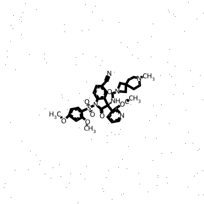 CCOc1ncccc1[C@]1(NC(=O)N2CC3(CCN(C)CC3)C2)C(=O)N(S(=O)(=O)c2ccc(OC)cc2OC)c2ccc(C#N)cc21